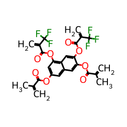 C=C(C)C(=O)Oc1cc(OC(=O)C(=C)C(F)(F)F)c2cc(OC(=O)C(=C)C(F)(F)F)c(OC(=O)C(=C)C)cc2c1